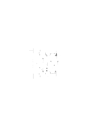 [O-][N+](O)(O)[SiH]([N+]([O-])(O)O)[N+]([O-])(O)O